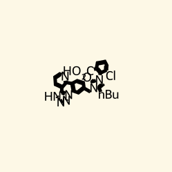 CCCCc1cn(-c2c(Cl)cccc2C(=O)O)c(=O)n1Cc1ccc(-c2ncccc2-c2nnn[nH]2)cc1